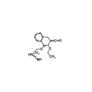 CCOC1C(=C=O)Cc2ccccc2N1OCC.N=C=N